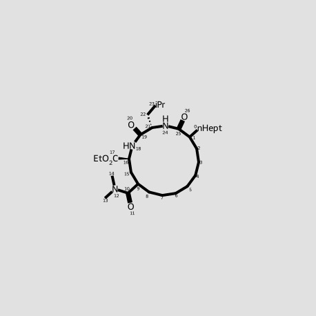 CCCCCCCC1CCCCCCCC(C(=O)N(C)C)C[C@@H](C(=O)OCC)NC(=O)[C@H](CC(C)C)NC1=O